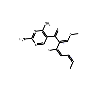 C\C=C/C=C(F)\C(=C\OC)C(=O)c1cnc(N)nc1N